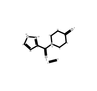 C=C.O=C1CCN(C(=O)c2ccon2)CC1